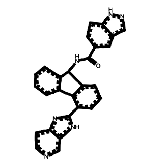 O=C(NC1c2ccccc2-c2c(-c3nc4ccncc4[nH]3)cccc21)c1ccc2[nH]ncc2c1